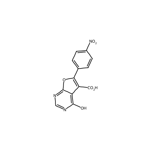 O=C(O)c1c(-c2ccc([N+](=O)[O-])cc2)oc2ncnc(O)c12